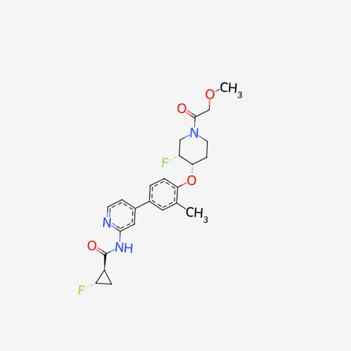 COCC(=O)N1CC[C@H](Oc2ccc(-c3ccnc(NC(=O)[C@H]4C[C@@H]4F)c3)cc2C)[C@H](F)C1